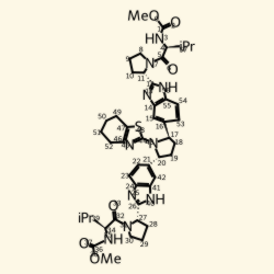 COC(=O)N[C@H](C(=O)N1CCC[C@H]1c1nc2cc([C@H]3CC[C@H](c4ccc5nc([C@@H]6CCCN6C(=O)[C@@H](NC(=O)OC)C(C)C)[nH]c5c4)N3c3nc4c(s3)CCCC4)ccc2[nH]1)C(C)C